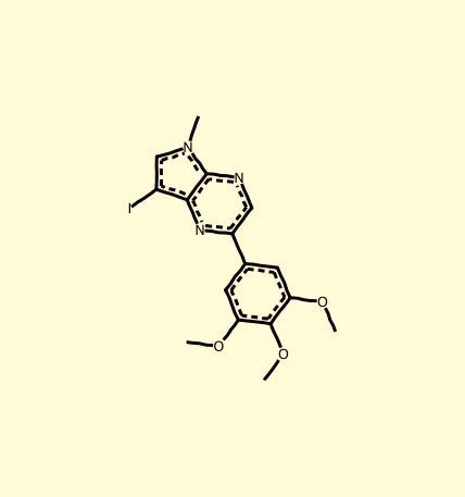 COc1cc(-c2cnc3c(n2)c(I)cn3C)cc(OC)c1OC